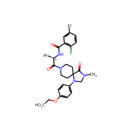 CCc1ccc(F)c(C(=O)N[C@@H](C(=O)N2CCC3(CC2)C(=O)N(C)CN3c2ccc(OCC(=O)O)cc2)C(C)C)c1